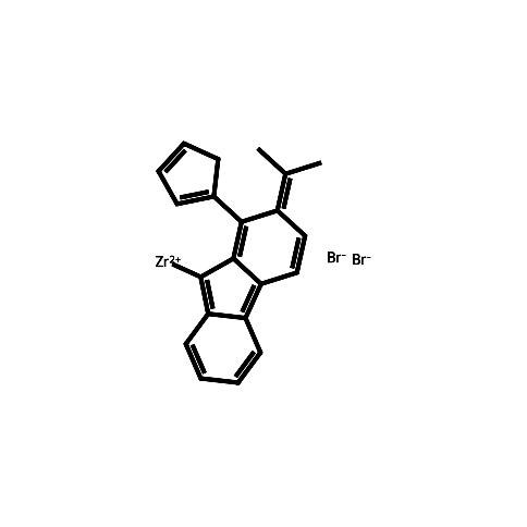 CC(C)=c1ccc2c(c1C1=CC=CC1)[C]([Zr+2])=c1ccccc1=2.[Br-].[Br-]